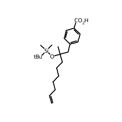 C=CCCCCCC(C)(Cc1ccc(C(=O)O)cc1)O[Si](C)(C)C(C)(C)C